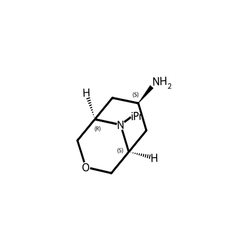 CC(C)N1[C@@H]2COC[C@H]1C[C@@H](N)C2